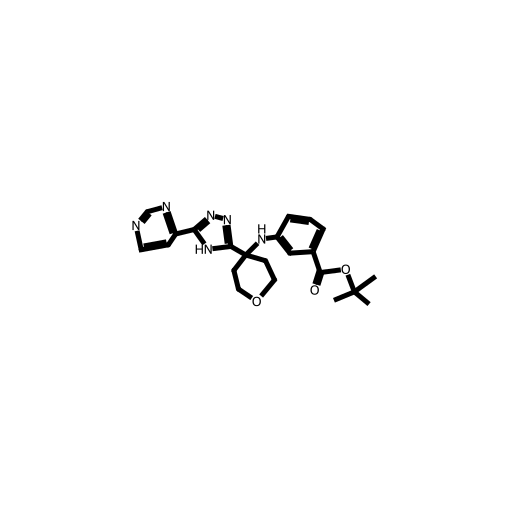 CC(C)(C)OC(=O)c1cccc(NC2(c3nnc(-c4ccncn4)[nH]3)CCOCC2)c1